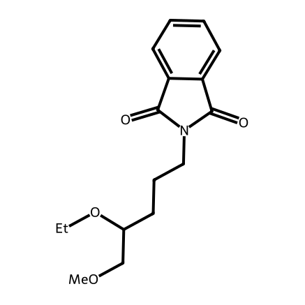 CCOC(CCCN1C(=O)c2ccccc2C1=O)COC